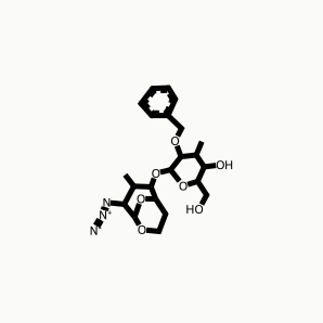 CC1C(N=[N+]=[N-])C2OCCC(O2)C1OC1OC(CO)C(O)C(C)C1OCc1ccccc1